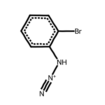 N#[N+]Nc1ccccc1Br